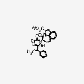 CCC(=O)N(NC(=O)C(C)c1ccccc1)[C@H]1CCc2cccc3c2N(C1=O)[C@H](C(=O)O)C3